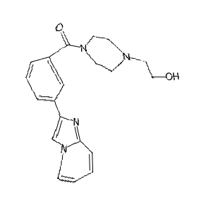 O=C(c1cccc(-c2cn3ccccc3n2)c1)N1CCN(CCO)CC1